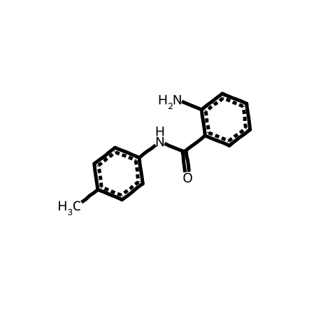 Cc1ccc(NC(=O)c2ccccc2N)cc1